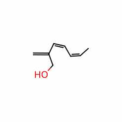 C=C(/C=C\C=C/C)CO